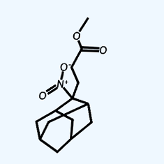 COC(=O)CCC1([N+](=O)[O-])C2CC3CC(C2)CC1C3